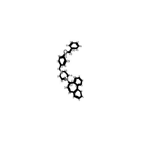 C1=CC2=C(CC1)c1ccccc1C(N1CCN(Cc3ccc(OCc4ccccc4)cc3)CC1)C=C2